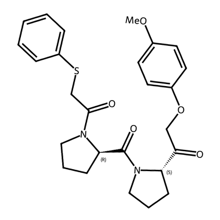 COc1ccc(OCC(=O)[C@@H]2CCCN2C(=O)[C@H]2CCCN2C(=O)CSc2ccccc2)cc1